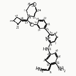 N=Cc1cc(Nc2ccnc(-c3cccc(OC(=C4CCC4)N4CCOCC4)c3)n2)ccc1N